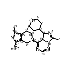 CC1=NC(C2CCOCC2)C2C(N3CCc4c(c(C(C)C)nn4C)C3)=NC=NN12